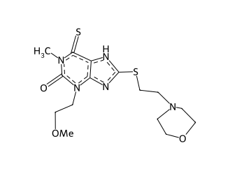 COCCn1c(=O)n(C)c(=S)c2[nH]c(SCCN3CCOCC3)nc21